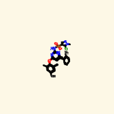 Cc1cc(C#N)cc(C)c1Oc1cc(-c2ccccc2C(C)C)nc(NS(=O)(=O)c2cnn(C)c2Cl)n1